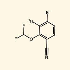 [2H]c1c(Br)ccc(C#N)c1OC(F)F